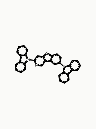 c1ccc2c(c1)c1ccccc1n2-c1ccc2sc3cc(-n4c5ccccc5c5ccccc54)ncc3c2c1